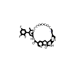 CC1C(c2cc(F)cc(F)c2F)CC2NC(=O)c3cnc4c(c3)C[C@@]3(C4)C(=O)Nc4ncc(cc43)/C=C/COCCOCCN1C2=O